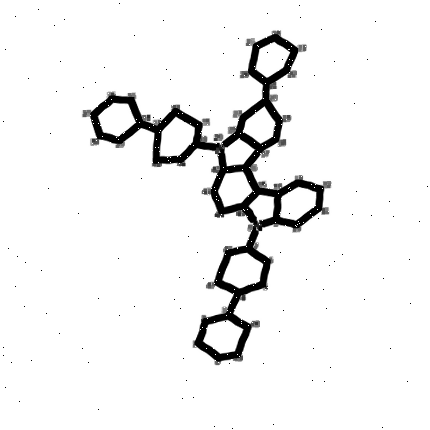 C1CCC(C2CCC(N3C4CCCCC4C4C5C6CCC(C7CCCCC7)CC6N(C6CCC(C7CCCCC7)CC6)C5CCC43)CC2)CC1